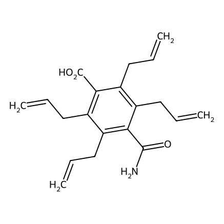 C=CCc1c(CC=C)c(C(=O)O)c(CC=C)c(CC=C)c1C(N)=O